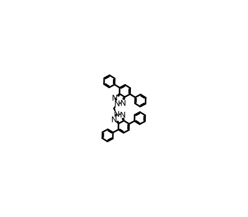 c1ccc(-c2ccc(-c3ccccc3)c3nn(Cn4nc5c(-c6ccccc6)ccc(-c6ccccc6)c5n4)nc23)cc1